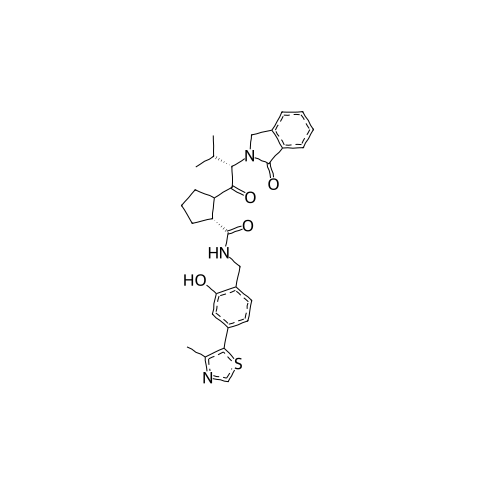 Cc1ncsc1-c1ccc(CNC(=O)[C@@H]2CCCC2C(=O)[C@H](C(C)C)N2Cc3ccccc3C2=O)c(O)c1